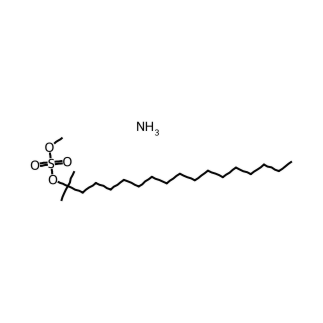 CCCCCCCCCCCCCCCCC(C)(C)OS(=O)(=O)OC.N